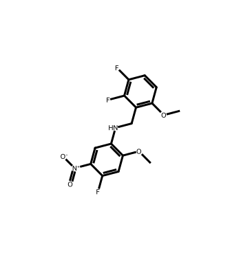 COc1cc(F)c([N+](=O)[O-])cc1NCc1c(OC)ccc(F)c1F